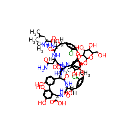 CN[C@H](CC(C)C)C(=O)N[C@H]1C(=O)N[C@@H](CC(N)=O)C(=O)NC2C(=O)N[C@H]3C(=O)N[C@H](C(=O)N[C@H](C(=O)O)c4cc(O)cc(O)c4-c4cc3ccc4O)[C@H](O)c3ccc(c(Cl)c3)Oc3cc2cc(c3OC2OC(CO)C(O)C(O)C2OC2CC(C)(N)C(O)C(C)O2)Oc2ccc(cc2Cl)[C@H]1O